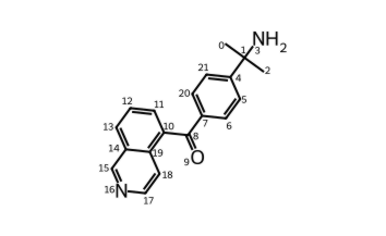 CC(C)(N)c1ccc(C(=O)c2cccc3cnccc23)cc1